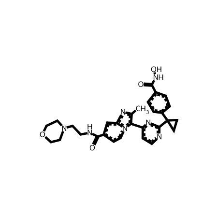 Cc1nc2cc(C(=O)NCCN3CCOCC3)ccn2c1-c1ccnc(C2(c3ccc(C(=O)NO)cc3)CC2)n1